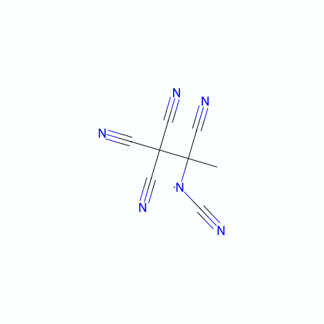 CC(C#N)([N]C#N)C(C#N)(C#N)C#N